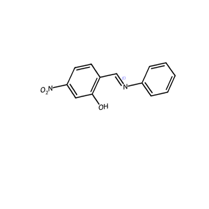 O=[N+]([O-])c1ccc(/C=N/c2ccccc2)c(O)c1